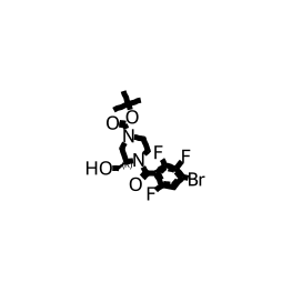 CC(C)(C)OC(=O)N1CCN(C(=O)c2c(F)cc(Br)c(F)c2F)[C@@H](CO)C1